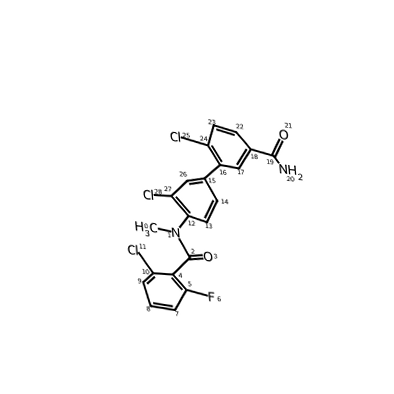 CN(C(=O)c1c(F)cccc1Cl)c1ccc(-c2cc(C(N)=O)ccc2Cl)cc1Cl